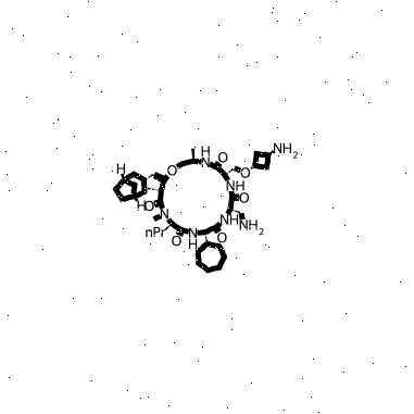 CCC[C@H]1C(=O)N[C@@H](C2CCCCCC2)C(=O)N[C@@H](CN)C(=O)N[C@@H](CO[C@H]2C[C@H](N)C2)C(=O)N[C@H](C)CO/C(=C/[C@H]2C[C@H]3CC[C@@H](C2)C3)[C@@H](C)C(=O)N1C